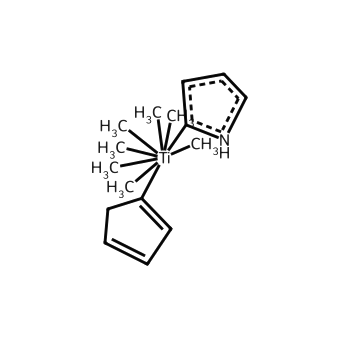 [CH3][Ti]([CH3])([CH3])([CH3])([CH3])([CH3])([CH3])([C]1=CC=CC1)[c]1ccc[nH]1